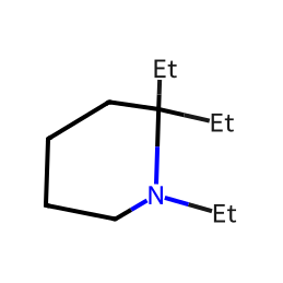 CCN1CCCCC1(CC)CC